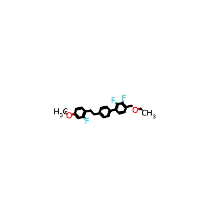 CCOCc1ccc(-c2ccc(CCc3ccc(OC)cc3F)cc2)c(F)c1F